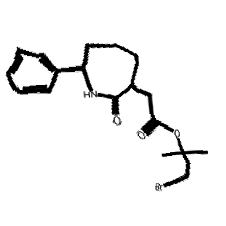 CC(C)(CBr)OC(=O)CC1CCCC(c2ccccc2)NC1=O